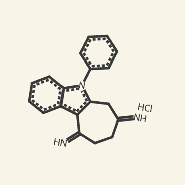 Cl.N=C1CCC(=N)c2c(n(-c3ccccc3)c3ccccc23)C1